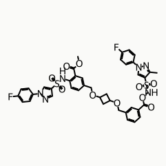 COC(=O)c1cc(COC2CC(OCc3cccc(C(=O)ONS(=O)(=O)c4cn(-c5ccc(F)cc5)nc4C)c3)C2)ccc1NS(=O)(=O)c1cnn(-c2ccc(F)cc2)c1